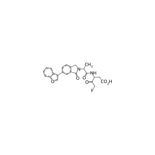 CC(C(=O)NC(CC(=O)O)C(=O)CF)N1Cc2ccc(-c3coc4ccccc34)cc2C1=O